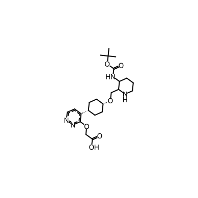 CC(C)(C)OC(=O)NC1CCCNC1CO[C@H]1CC[C@@H](c2ccnnc2OCC(=O)O)CC1